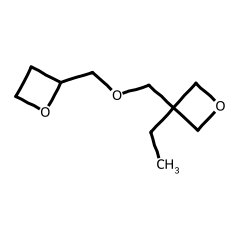 CCC1(COCC2CCO2)COC1